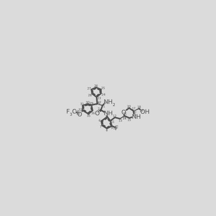 NC(C(=O)Nc1cccc(F)c1CC[C@@H]1CN[C@H](CO)CO1)[C@H](c1ccccc1)c1ccc(OC(F)(F)F)cc1